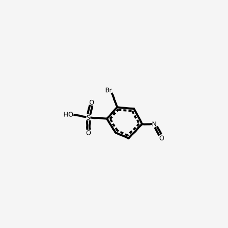 O=Nc1ccc(S(=O)(=O)O)c(Br)c1